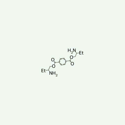 CCC(N)COC(=O)c1ccc(C(=O)OCC(N)CC)cc1